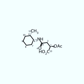 CC(=O)O[C@H](CC(=O)N[C@@H]1CCCC[C@@H]1C)C(=O)O